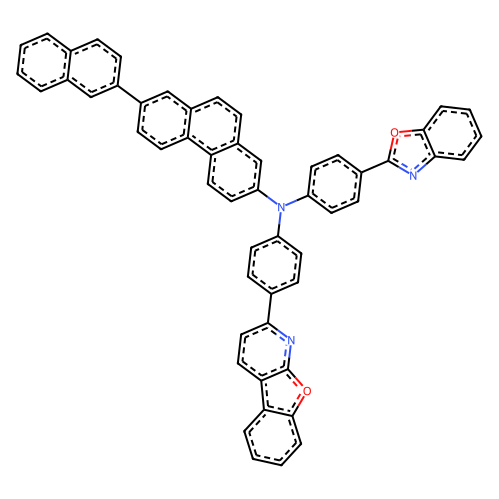 c1ccc2cc(-c3ccc4c(ccc5cc(N(c6ccc(-c7ccc8c(n7)oc7ccccc78)cc6)c6ccc(-c7nc8ccccc8o7)cc6)ccc54)c3)ccc2c1